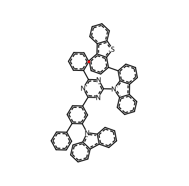 c1ccc(-c2nc(-c3ccc(-c4ccccc4)c(-n4c5ccccc5c5ccccc54)c3)nc(-n3c4ccccc4c4cccc(-c5cccc6c5sc5ccccc56)c43)n2)cc1